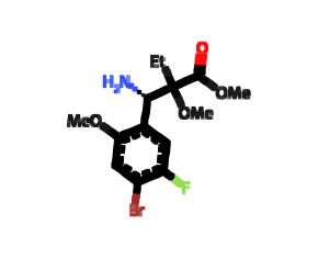 CCC(OC)(C(=O)OC)[C@@H](N)c1cc(F)c(Br)cc1OC